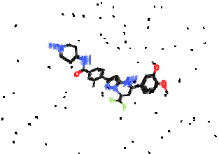 COc1ccc(C2CC(C(F)F)n3nc(-c4ccc(C(=O)NC5CCNCC5)cc4C)cc3N2)cc1OC